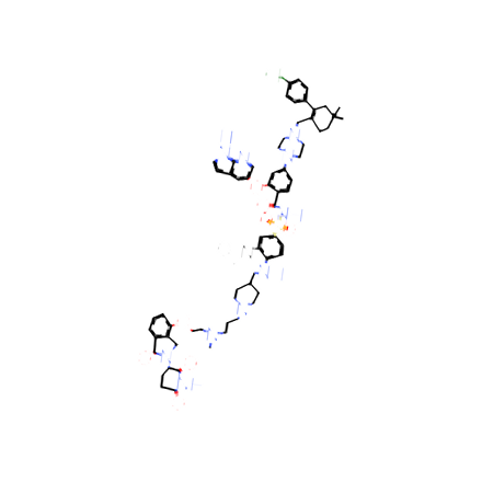 CN(CCCN1CCC(CNc2ccc(S(=O)(=O)NC(=O)c3ccc(N4CCN(CC5=C(c6ccc(Cl)cc6)CC(C)(C)CC5)CC4)cc3Oc3cnc4[nH]ccc4c3)cc2[N+](=O)[O-])CC1)CCOc1cccc2c1CN(C1CCC(=O)NC1=O)C2=O